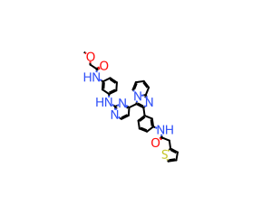 COCC(=O)Nc1cccc(Nc2nccc(-c3c(-c4cccc(NC(=O)Cc5cccs5)c4)nc4ccccn34)n2)c1